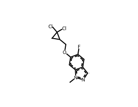 Cn1n[c]c2cc(F)c(OCC3CC3(Cl)Cl)cc21